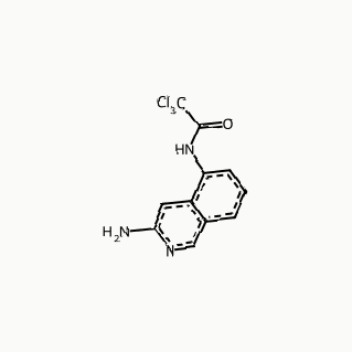 Nc1cc2c(NC(=O)C(Cl)(Cl)Cl)cccc2cn1